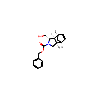 O=C(OCc1ccccc1)N1C[C@H]2[C@@H]([C@H]1CO)[C@H]1C=C[C@@H]2C1